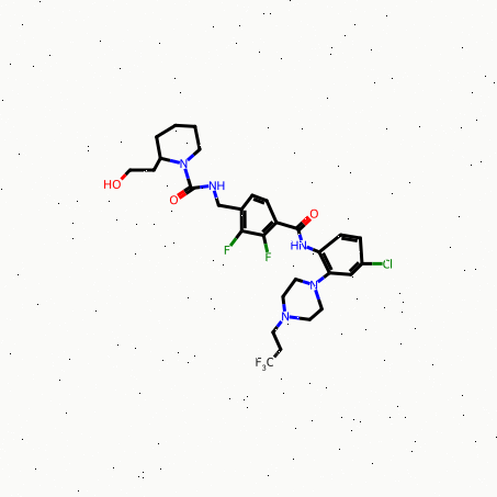 O=C(Nc1ccc(Cl)cc1N1CCN(CCC(F)(F)F)CC1)c1ccc(CNC(=O)N2CCCCC2CCO)c(F)c1F